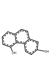 Oc1ccc2c(ccc3cccc(O)c32)c1